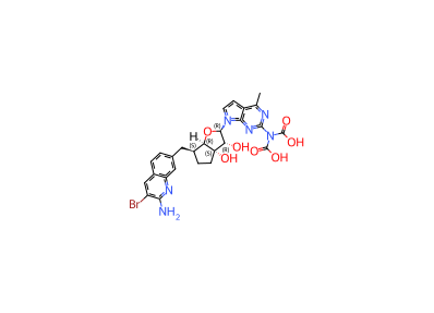 Cc1nc(N(C(=O)O)C(=O)O)nc2c1ccn2[C@@H]1O[C@@H]2[C@H](Cc3ccc4cc(Br)c(N)nc4c3)CC[C@]2(O)[C@H]1O